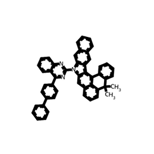 CC1(C)c2ccccc2-c2c3c1cccc3cc1c2c2cc3ccccc3cc2n1-c1nc(-c2ccc(-c3ccccc3)cc2)c2ccccc2n1